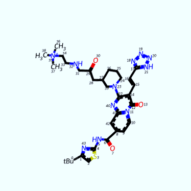 CC(C)(C)c1csc(NC(=O)c2ccn3c(=O)c(C=Cc4nnn[nH]4)c(N4CCCC(CC(=O)CNCC[N+](C)(C)C)C4)nc3c2)n1